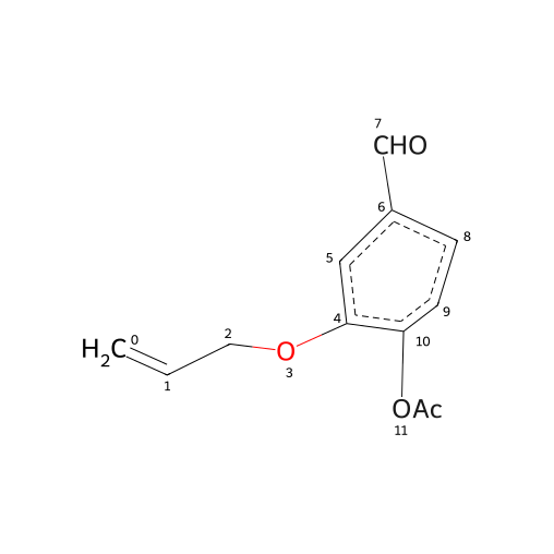 C=CCOc1cc(C=O)ccc1OC(C)=O